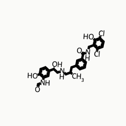 CC(CNC[C@@H](O)c1ccc(O)c(NC=O)c1)Cc1cccc(C(=O)NCc2c(Cl)ccc(Cl)c2O)c1